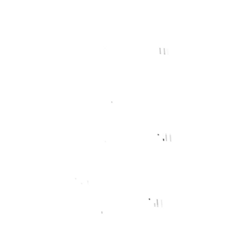 NC1CC1C1CC(C2OCC2N)C1N